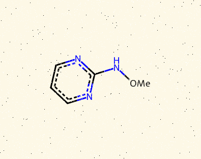 CONc1ncccn1